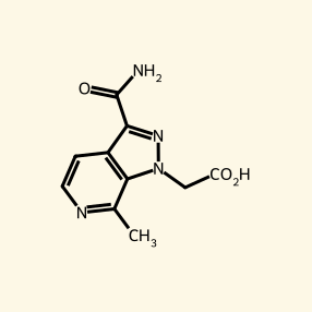 Cc1nccc2c(C(N)=O)nn(CC(=O)O)c12